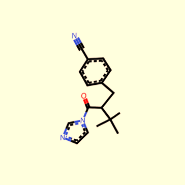 CC(C)(C)C(Cc1ccc(C#N)cc1)C(=O)n1ccnc1